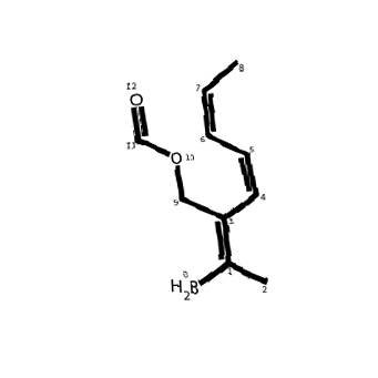 B/C(C)=C(/C=C\C=C/C)COC=O